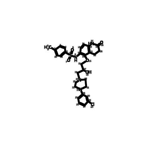 Cc1ccc(S(=O)(=O)Nc2ccc3c(c2OCC(O)CN2CCN(c4cccc(Cl)c4)CC2)CCC(=O)N3)cc1